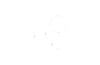 NC1CCCCCCC1.NCCN1CCOCC1